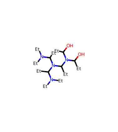 CCC(O)N(C(O)CC)C(CC)N(C(CC)N(CC)CC)C(CC)N(CC)CC